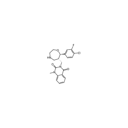 Cn1c(=O)n(C[C@@H]2CNCCO[C@H]2c2ccc(Cl)c(F)c2)c(=O)c2ccccc21